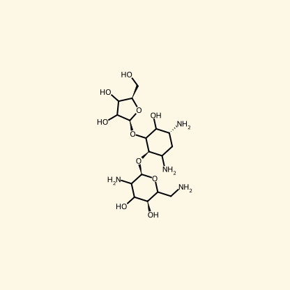 NCC1O[C@H](O[C@@H]2C(N)C[C@@H](N)C(O)C2O[C@@H]2O[C@H](CO)C(O)C2O)C(N)C(O)[C@@H]1O